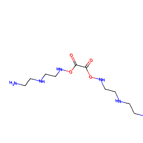 NCCNCCNOC(=O)C(=O)ONCCNCCN